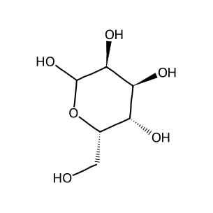 OC[C@@H]1OC(O)[C@@H](O)[C@@H](O)[C@@H]1O